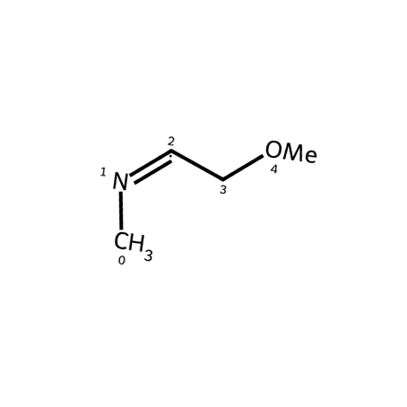 C/N=[C]\COC